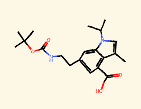 Cc1cn(C(C)C)c2cc(CCNC(=O)OC(C)(C)C)cc(C(=O)O)c12